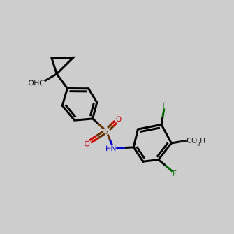 O=CC1(c2ccc(S(=O)(=O)Nc3cc(F)c(C(=O)O)c(F)c3)cc2)CC1